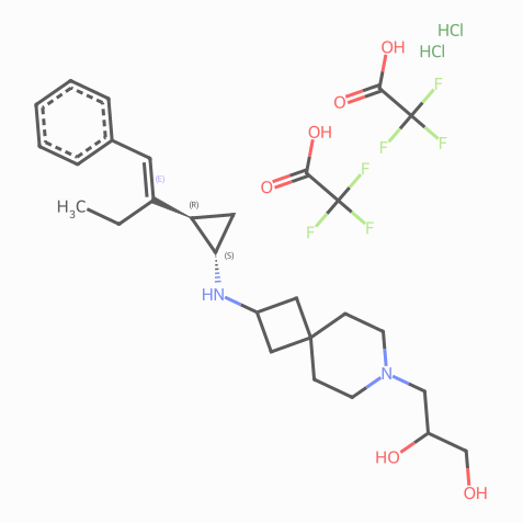 CC/C(=C\c1ccccc1)[C@H]1C[C@@H]1NC1CC2(CCN(CC(O)CO)CC2)C1.Cl.Cl.O=C(O)C(F)(F)F.O=C(O)C(F)(F)F